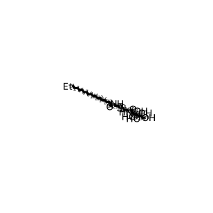 CCC=CCC=CCC=CCC=CCC=CCCCC(=O)NCCSSCCNC(=O)[C@H](O)[C@@H](O)[C@H](O)[C@H](O)CO